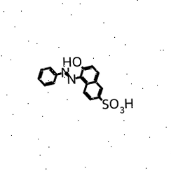 O=S(=O)(O)c1ccc2c(N=Nc3ccccc3)c(O)ccc2c1